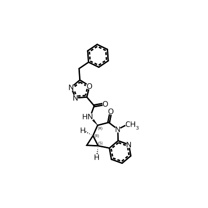 CN1C(=O)[C@H](NC(=O)c2nnc(Cc3ccccc3)o2)[C@@H]2C[C@@H]2c2cccnc21